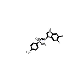 N[SH](=O)(/C=N/c1c[nH]c2cc(F)c(F)cc12)c1ccc(C(F)(F)F)cc1